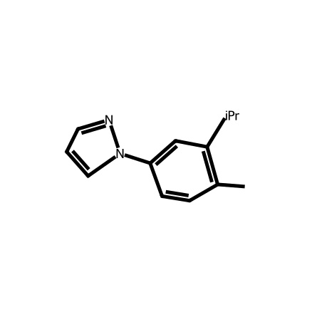 Cc1ccc(-n2cccn2)cc1C(C)C